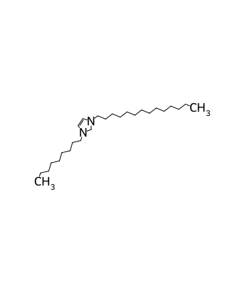 CCCCCCCCCCCCCCN1C=CN(CCCCCCCCC)C1